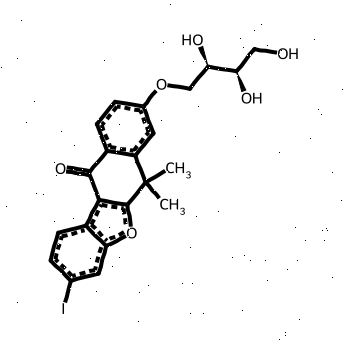 CC1(C)c2cc(OC[C@@H](O)[C@H](O)CO)ccc2C(=O)c2c1oc1cc(I)ccc21